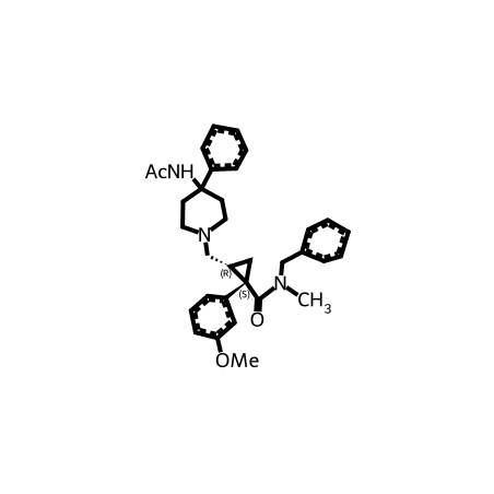 COc1cccc([C@]2(C(=O)N(C)Cc3ccccc3)C[C@H]2CN2CCC(NC(C)=O)(c3ccccc3)CC2)c1